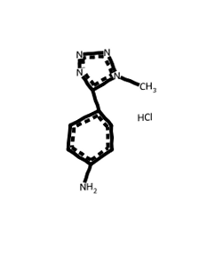 Cl.Cn1nnnc1-c1ccc(N)cc1